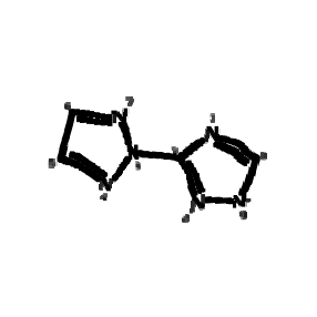 C1=NC(n2nccn2)=N[N]1